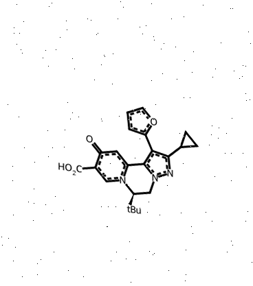 CC(C)(C)[C@@H]1Cn2nc(C3CC3)c(-c3ccco3)c2-c2cc(=O)c(C(=O)O)cn21